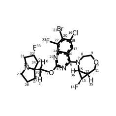 [2H]C([2H])(Oc1nc(N2CCOC[C@@H]3[C@@H](F)[C@@H]32)c2cc(Cl)c(Br)c(F)c2n1)[C@@]12CCCN1C[C@H](F)C2